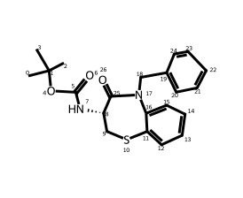 CC(C)(C)OC(=O)N[C@H]1CSc2ccccc2N(Cc2ccccc2)C1=O